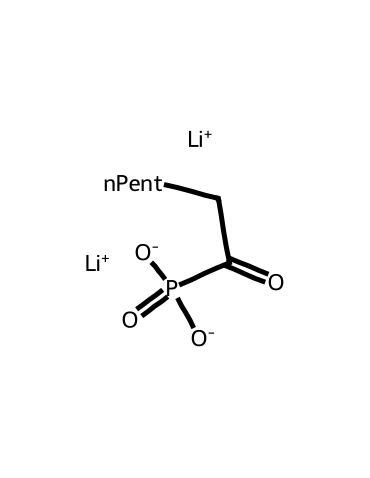 CCCCCCC(=O)P(=O)([O-])[O-].[Li+].[Li+]